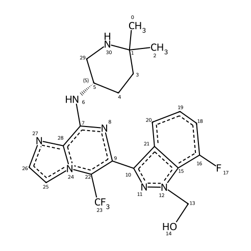 CC1(C)CC[C@H](Nc2nc(-c3nn(CO)c4c(F)cccc34)c(C(F)(F)F)n3ccnc23)CN1